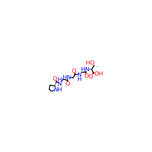 C[C@@H](O)[C@H](NC(=O)CNC(=O)CNC(=O)CNC(=O)[C@@H]1CCCN1)C(=O)O